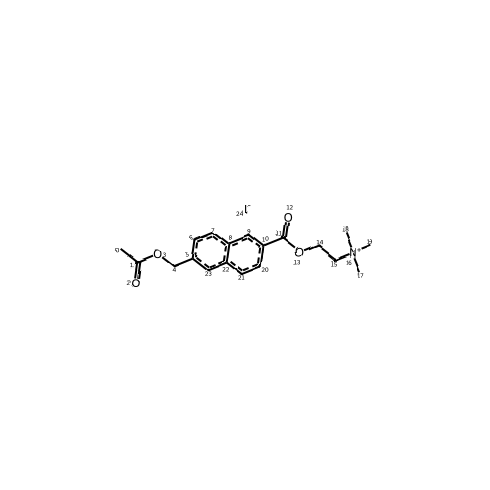 CC(=O)OCc1ccc2cc(C(=O)OCC[N+](C)(C)C)ccc2c1.[I-]